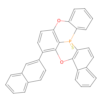 S=P12c3ccccc3Oc3ccc(-c4ccc5ccccc5c4)c(c31)Oc1c2ccc2ccccc12